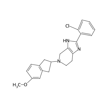 COc1ccc2c(c1)CC(N1CCc3nc(-c4ccccc4Cl)[nH]c3C1)C2